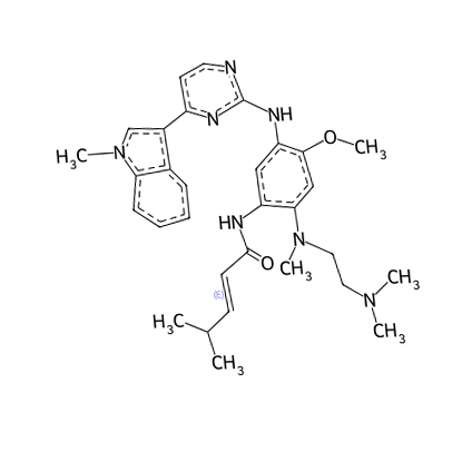 COc1cc(N(C)CCN(C)C)c(NC(=O)/C=C/C(C)C)cc1Nc1nccc(-c2cn(C)c3ccccc23)n1